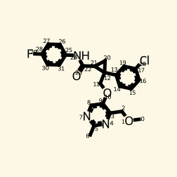 COCc1nc(C)ncc1OCC1(c2cccc(Cl)c2)CC1C(=O)Nc1ccc(F)cc1